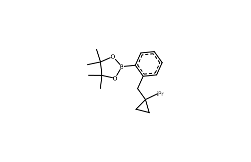 CC(C)C1(Cc2ccccc2B2OC(C)(C)C(C)(C)O2)CC1